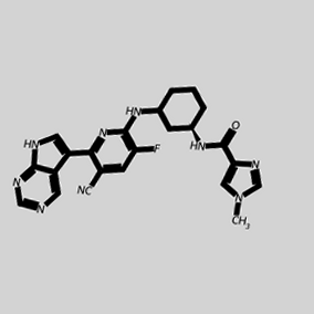 Cn1cnc(C(=O)N[C@@H]2CCCC(Nc3nc(-c4c[nH]c5ncncc45)c(C#N)cc3F)C2)c1